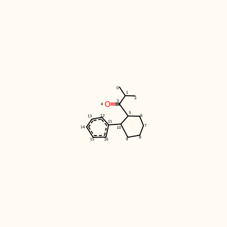 CC(C)C(=O)C1CCCCC1c1ccccc1